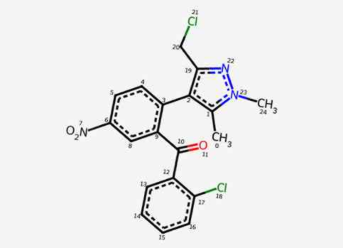 Cc1c(-c2ccc([N+](=O)[O-])cc2C(=O)c2ccccc2Cl)c(CCl)nn1C